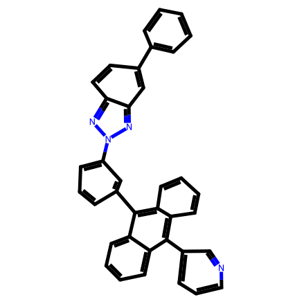 c1ccc(-c2ccc3nn(-c4cccc(-c5c6ccccc6c(-c6cccnc6)c6ccccc56)c4)nc3c2)cc1